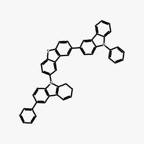 C1=Cc2c(n(-c3ccc4sc5ccc(-c6ccc7c(c6)c6ccccc6n7-c6ccccc6)cc5c4c3)c3ccc(-c4ccccc4)cc23)CC1